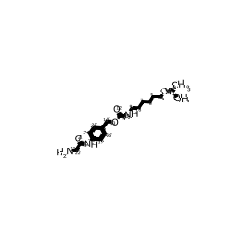 CP(O)OCCCCCCNC(=O)OCc1ccc(NC(=O)CN)cc1